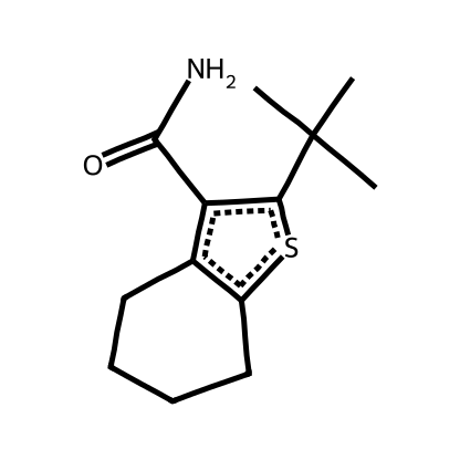 CC(C)(C)c1sc2c(c1C(N)=O)CCCC2